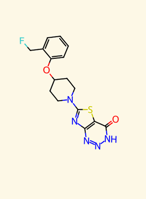 O=c1[nH]nnc2nc(N3CCC(Oc4ccccc4CF)CC3)sc12